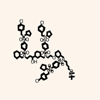 CC(C)(C)[Si](C)(C)OCCCCN(CC1CCCC(OCCN(CC2CCCC(C(O)CCN(CC3CCCCC3)S(=O)(=O)c3ccc(S(=O)(=O)N(Cc4ccc(Cl)cc4)C4CCCC4)cc3)C2)S(=O)(=O)c2ccc(S(=O)(=O)N(Cc3ccc(Cl)cc3)C3CCCC3)cc2)C1)S(=O)(=O)c1ccc(S(=O)(=O)N(Cc2ccc(Cl)cc2)C2CCCC2)cc1